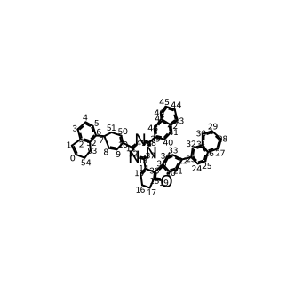 C1=Cc2cccc(C3C=CC(c4nc(C5=CCCc6oc7cc(-c8ccc9ccccc9c8)ccc7c65)nc(-c5ccc6ccccc6c5)n4)=CC3)c2CC1